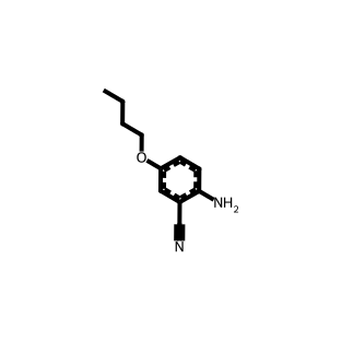 CCCCOc1ccc(N)c(C#N)c1